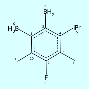 Bc1c(B)c(C(C)C)c(C)c(F)c1C